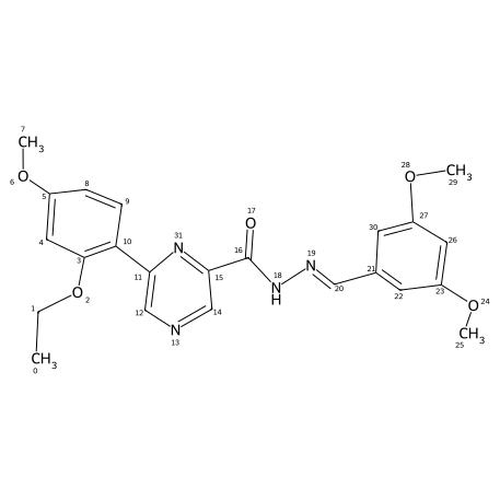 CCOc1cc(OC)ccc1-c1cncc(C(=O)NN=Cc2cc(OC)cc(OC)c2)n1